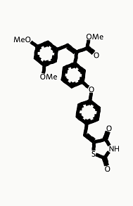 COC(=O)/C(=C/c1cc(OC)cc(OC)c1)c1cccc(Oc2ccc(/C=C3/SC(=O)NC3=O)cc2)c1